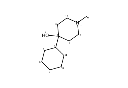 CN1CCC(O)(C2CCCCC2)CC1